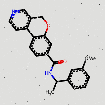 COc1cccc(C(C)NC(=O)c2ccc3c(c2)OCc2cnccc2-3)c1